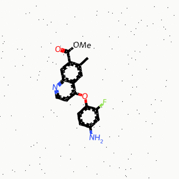 COC(=O)c1cc2nccc(Oc3ccc(N)cc3F)c2cc1C